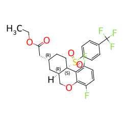 CCOC(=O)C[C@@H]1CC[C@@]2(S(=O)(=O)c3ccc(C(F)(F)F)cc3)c3c(F)ccc(F)c3OC[C@H]2C1